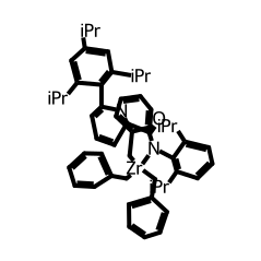 CC(C)c1cc(C(C)C)c(-c2cccc(C(=O)[N](c3c(C(C)C)cccc3C(C)C)[Zr]([CH2]c3ccccc3)([CH2]c3ccccc3)[CH2]c3ccccc3)n2)c(C(C)C)c1